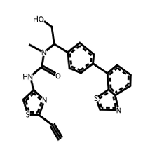 C#Cc1nc(NC(=O)N(C)C(CO)c2ccc(-c3cccc4ncsc34)cc2)cs1